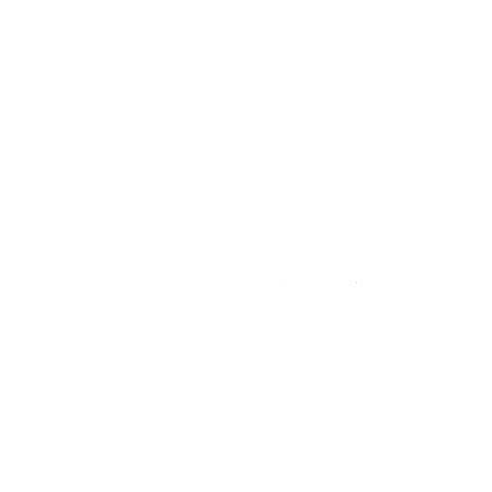 CC1CC2CC(C)CC2(c2ccc(Cn3cc(NO)cn3)c(Cl)c2)C1